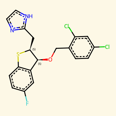 Fc1ccc2c(c1)[C@H](OCc1ccc(Cl)cc1Cl)[C@H](Cc1ncc[nH]1)S2